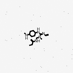 C=C/N=C(/NC1CCC(NC)CC1)N(C)CNC(=C)CC